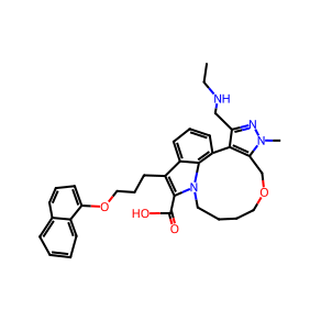 CCNCc1nn(C)c2c1-c1cccc3c(CCCOc4cccc5ccccc45)c(C(=O)O)n(c13)CCCCOC2